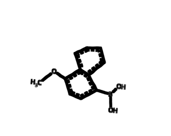 COc1ccc(B(O)O)c2ccccc12